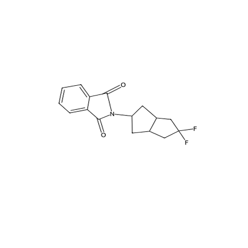 O=C1c2ccccc2C(=O)N1C1CC2CC(F)(F)CC2C1